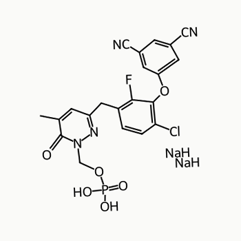 Cc1cc(Cc2ccc(Cl)c(Oc3cc(C#N)cc(C#N)c3)c2F)nn(COP(=O)(O)O)c1=O.[NaH].[NaH]